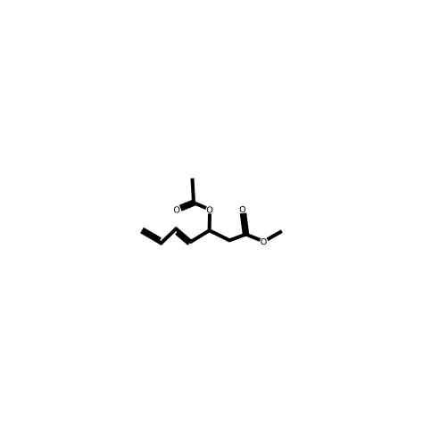 C=C/C=C/C(CC(=O)OC)OC(C)=O